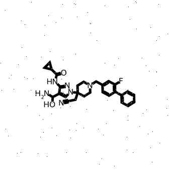 N#CCC1(n2cc(C(N)O)c(NC(=O)C3CC3)n2)CCN(Cc2ccc(-c3ccccc3)c(F)c2)CC1